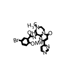 COc1ccc(Br)cc1C(=O)NC1CN(C)CCn2c1nc(-c1ccncn1)cc2=O